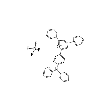 F[B-](F)(F)F.c1ccc(-c2cc(-c3ccccc3)[o+]c(-c3ccc(N(c4ccccc4)c4ccccc4)cc3)c2)cc1